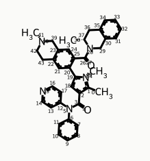 Cc1c(C(=O)N(c2ccccc2)c2ccncc2)cc(-c2cc3c(cc2C(=O)N2Cc4ccccc4C[C@H]2C)CN(C)CC3)n1C